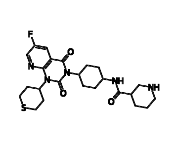 O=C(NC1CCC(n2c(=O)c3cc(F)cnc3n(C3CCSCC3)c2=O)CC1)C1CCCNC1